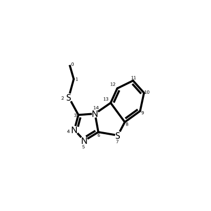 CCSc1nnc2sc3ccccc3n12